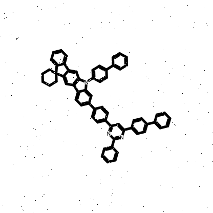 c1ccc(-c2ccc(-c3cc(-c4ccc(-c5ccc6c7cc8c(cc7n(-c7ccc(-c9ccccc9)cc7)c6c5)-c5ccccc5C85CCCCC5)cc4)nc(-c4ccccc4)n3)cc2)cc1